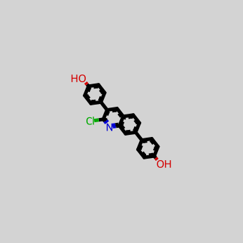 Oc1ccc(-c2ccc3cc(-c4ccc(O)cc4)c(Cl)nc3c2)cc1